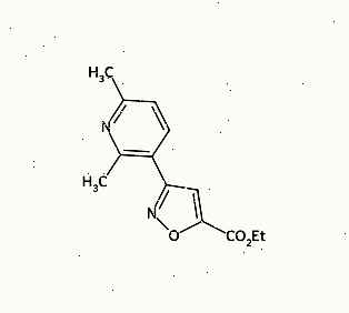 CCOC(=O)c1cc(-c2ccc(C)nc2C)no1